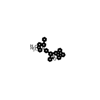 CC1(C)c2ccccc2-c2c(N(c3ccc(-c4ccccc4)cc3)c3ccc(-c4cc5c6ccccc6c(=O)n6c7c8c(ccc7c(c4)c56)C4(c5ccccc5-c5ccccc54)c4ccccc4-8)cc3)cccc21